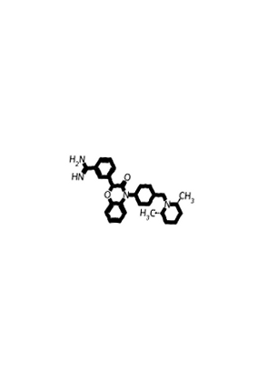 C[C@@H]1CCC[C@H](C)N1CC1CCC(N2C(=O)C(c3cccc(C(=N)N)c3)Oc3ccccc32)CC1